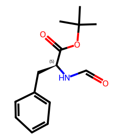 CC(C)(C)OC(=O)[C@H](Cc1ccccc1)NC=O